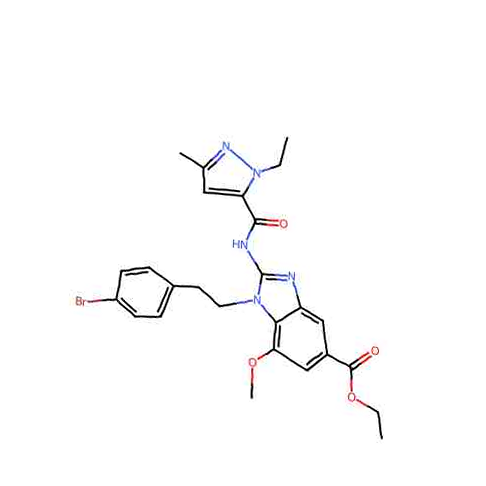 CCOC(=O)c1cc(OC)c2c(c1)nc(NC(=O)c1cc(C)nn1CC)n2CCc1ccc(Br)cc1